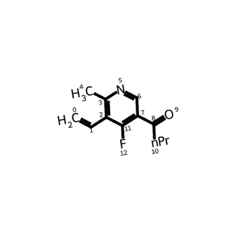 C=Cc1c(C)ncc(C(=O)CCC)c1F